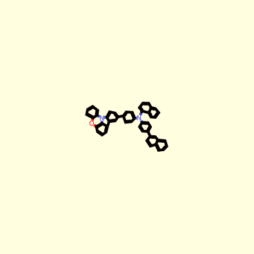 c1ccc2c(c1)Oc1cccc3c4cc(-c5ccc(N(c6ccc(-c7ccc8ccccc8c7)cc6)c6cccc7ccccc67)cc5)ccc4n-2c13